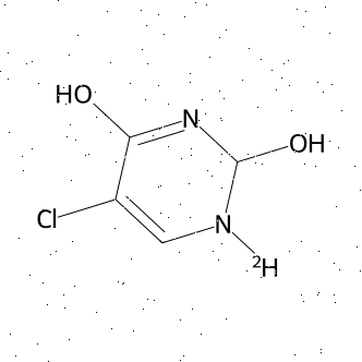 [2H]N1C=C(Cl)C(O)=NC1O